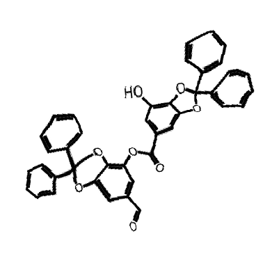 O=Cc1cc(OC(=O)c2cc(O)c3c(c2)OC(c2ccccc2)(c2ccccc2)O3)c2c(c1)OC(c1ccccc1)(c1ccccc1)O2